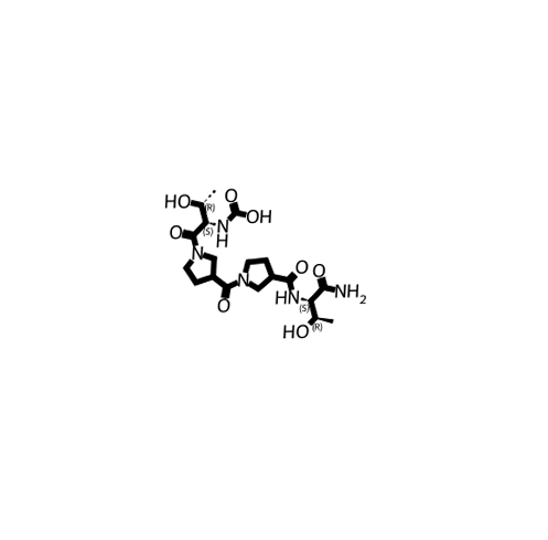 C[C@@H](O)[C@H](NC(=O)C1CCN(C(=O)C2CCN(C(=O)[C@@H](NC(=O)O)[C@@H](C)O)C2)C1)C(N)=O